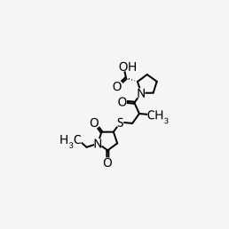 CCN1C(=O)CC(SCC(C)C(=O)N2CCC[C@H]2C(=O)O)C1=O